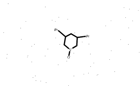 CC(C)C1CC(C(C)C)C[S+]([O-])C1